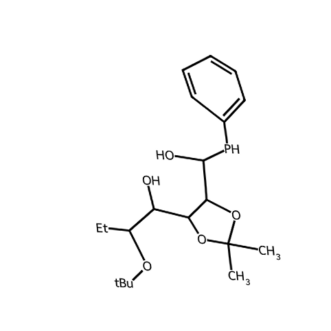 CCC(OC(C)(C)C)C(O)C1OC(C)(C)OC1C(O)Pc1ccccc1